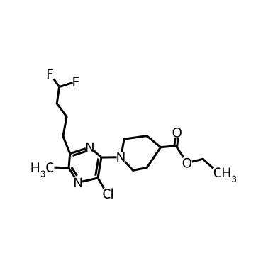 CCOC(=O)C1CCN(c2nc(CCCC(F)F)c(C)nc2Cl)CC1